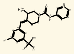 CC1CN(C(=O)Nc2cccnc2)CCC1=Cc1cc(F)cc(C(F)(F)F)c1